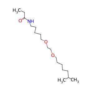 CCC(=O)NCCCCCOCCOCCCCCC(C)C